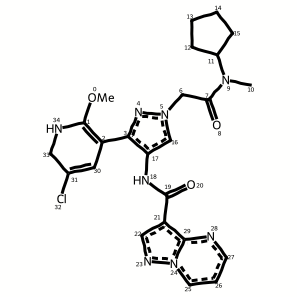 COC1=C(c2nn(CC(=O)N(C)C3CCCC3)cc2NC(=O)c2cnn3cccnc23)C=C(Cl)CN1